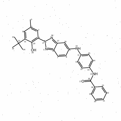 Cc1cc(-n2nc3ccc(Nc4ccc(NC(=O)c5ccccc5)cc4)cc3n2)c(O)c(C(C)(C)C)c1